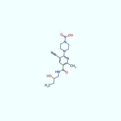 CCC(O)CNC(=O)c1cc(C#N)c(N2CCN(C(=O)O)CC2)nc1C